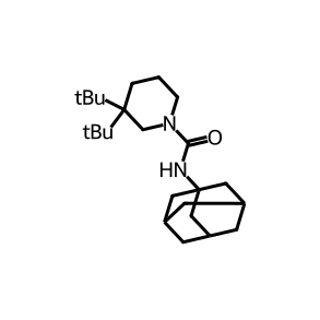 CC(C)(C)C1(C(C)(C)C)CCCN(C(=O)NC23CC4CC(CC(C4)C2)C3)C1